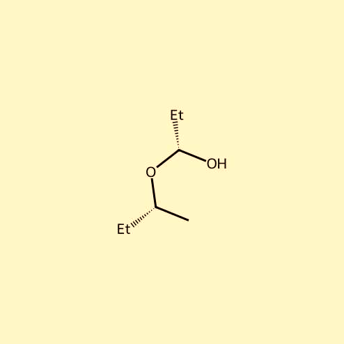 CC[C@@H](C)O[C@@H](O)CC